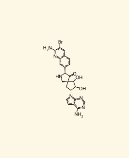 Nc1nc2cc([C@@H]3NC[C@@]4(C[C@@H](n5ccc6c(N)ncnc65)[C@H](O)[C@@H]4O)C3=O)ccc2cc1Br